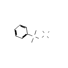 C[Si](C)(O[Cl+3]([O-])([O-])[O-])c1ccccc1